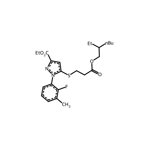 CCCCC(CC)COC(=O)CCSc1cc(C(=O)OCC)nn1-c1cccc(C)c1F